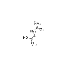 CNC(=O)NSC(C)O